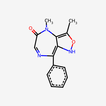 CC1=C2C(=C(c3ccccc3)N=CC(=O)N2C)NO1